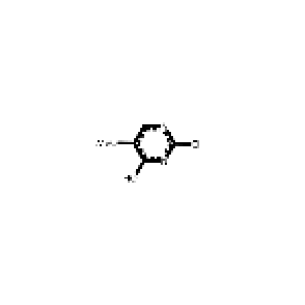 COc1cnc(C)nc1O